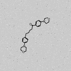 O=C(CCCCc1ccc(N2CCOCC2)cc1)c1ccc(N2CCOCC2)cc1